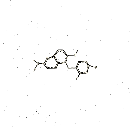 COc1ccc2nc([S+](C)[O-])ccc2c1Cc1ccc(F)cc1F